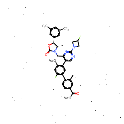 COC(=O)c1ccc(-c2cc(-c3cnc(N4CC(F)C4)nc3CN3C(=O)O[C@H](c4cc(C(F)(F)F)cc(C(F)(F)F)c4)[C@@H]3C)c(OC)cc2F)c(C)c1